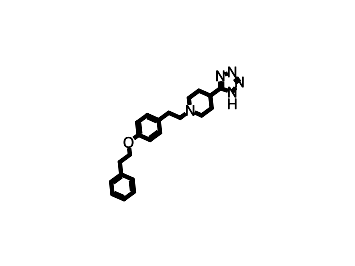 c1ccc(CCOc2ccc(CCN3CCC(c4nnn[nH]4)CC3)cc2)cc1